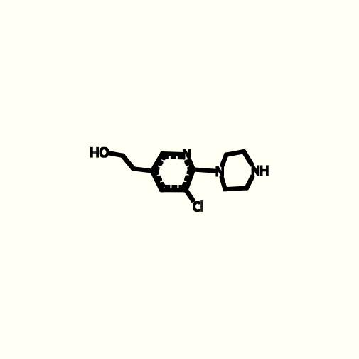 OCCc1cnc(N2CCNCC2)c(Cl)c1